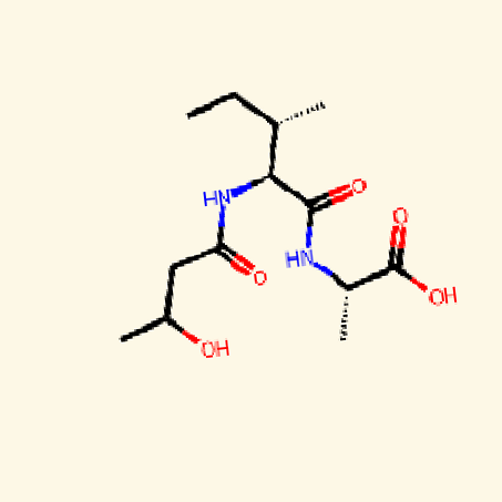 CC[C@H](C)[C@H](NC(=O)CC(C)O)C(=O)N[C@@H](C)C(=O)O